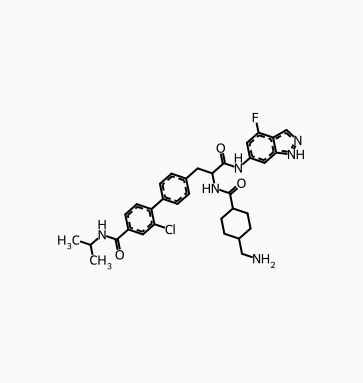 CC(C)NC(=O)c1ccc(-c2ccc(CC(NC(=O)C3CCC(CN)CC3)C(=O)Nc3cc(F)c4cn[nH]c4c3)cc2)c(Cl)c1